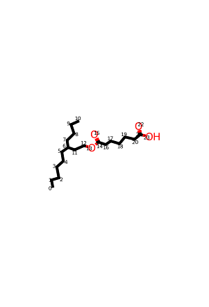 CCCCCCC(CCCC)CCOC(=O)CCCCCC(=O)O